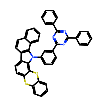 c1ccc(-c2nc(-c3ccccc3)nc(-c3cccc(-n4c5c6c(ccc5c5ccc7ccccc7c54)Sc4ccccc4S6)c3)n2)cc1